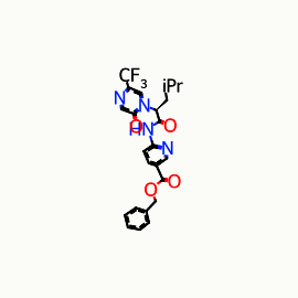 CC(C)C[C@@H](C(=O)Nc1ccc(C(=O)OCc2ccccc2)cn1)n1cc(C(F)(F)F)ncc1=O